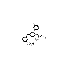 CN(C)C[C@H]1CC/C(=C\c2cccc(C(=O)O)c2)C[C@@H]1c1cccc(F)c1